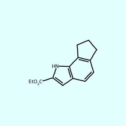 CCOC(=O)c1cc2ccc3c(c2[nH]1)CCC3